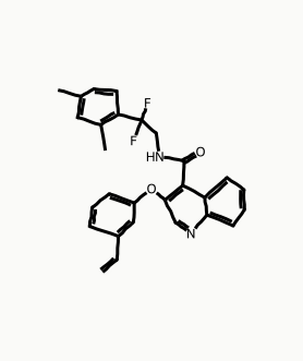 C=Cc1cccc(Oc2cnc3ccccc3c2C(=O)NCC(F)(F)c2ccc(C)cc2C)c1